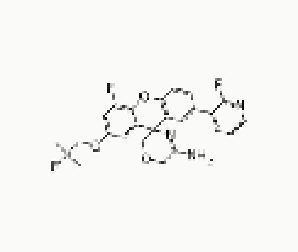 CC(C)(F)COc1cc(F)c2c(c1)C1(COCC(N)=N1)c1cc(-c3cccnc3F)ccc1O2